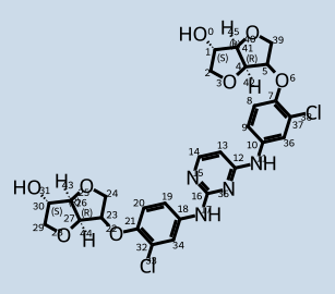 O[C@H]1CO[C@@H]2C(Oc3ccc(Nc4ccnc(Nc5ccc(OC6CO[C@H]7[C@@H]6OC[C@@H]7O)c(Cl)c5)n4)cc3Cl)CO[C@@H]21